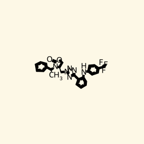 C[C@H](c1ccccc1)N1C(=O)OC[C@H]1Cn1nnc(-c2ccccc2Nc2ccc(C(F)(F)F)cc2)n1